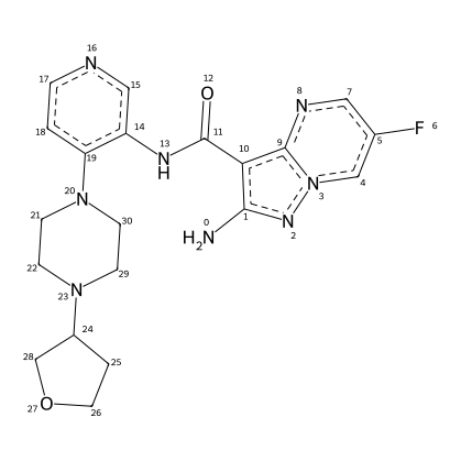 Nc1nn2cc(F)cnc2c1C(=O)Nc1cnccc1N1CCN(C2CCOC2)CC1